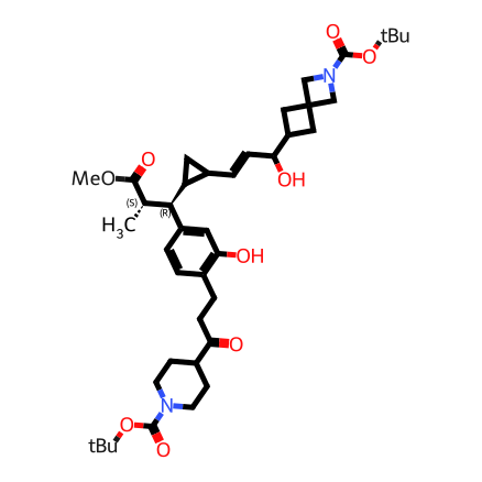 COC(=O)[C@@H](C)[C@H](c1ccc(CCC(=O)C2CCN(C(=O)OC(C)(C)C)CC2)c(O)c1)C1CC1C=CC(O)C1CC2(C1)CN(C(=O)OC(C)(C)C)C2